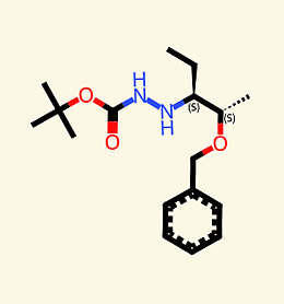 CC[C@H](NNC(=O)OC(C)(C)C)[C@H](C)OCc1ccccc1